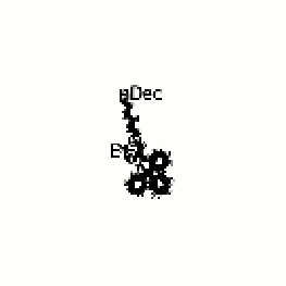 CCCCCCCCCCCCCCCCOCC(CSC(c1ccccc1)(c1ccccc1)c1ccccc1)OCC